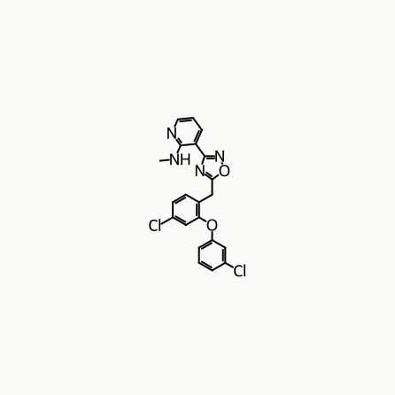 CNc1ncccc1-c1noc(Cc2ccc(Cl)cc2Oc2cccc(Cl)c2)n1